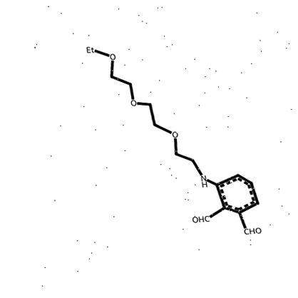 CCOCCOCCOCCNc1cccc(C=O)c1C=O